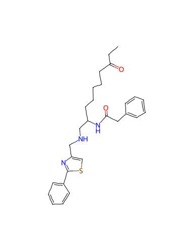 CCC(=O)CCCCCC(CNCc1csc(-c2ccccc2)n1)NC(=O)Cc1ccccc1